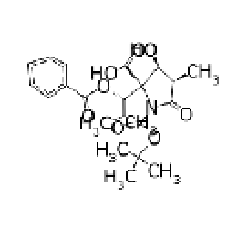 CC(C)[C@H](OC(=O)c1ccccc1)[C@]1(C(=O)O)[C@@H](O)[C@@H](C)C(=O)N1C(=O)OC(C)(C)C